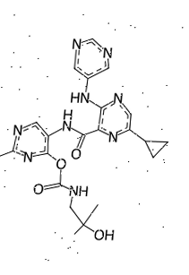 Cc1ncc(NC(=O)c2nc(C3CC3)cnc2Nc2cncnc2)c(OC(=O)NCC(C)(C)O)n1